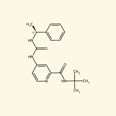 C[C@H](NC(=O)Nc1ccnc(C(=O)NC(C)(C)C)c1)c1ccccc1